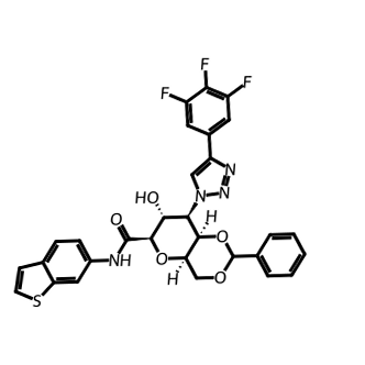 O=C(Nc1ccc2ccsc2c1)[C@@H]1O[C@@H]2COC(c3ccccc3)O[C@@H]2[C@H](n2cc(-c3cc(F)c(F)c(F)c3)nn2)[C@H]1O